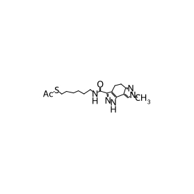 CC(=O)SCCCCCCNC(=O)c1n[nH]c2c1CCc1nn(C)cc1-2